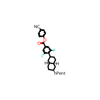 CCCCC[C@H]1CC[C@@H]2CC(c3c(F)cc(C(=O)Oc4ccc(C#N)cc4)cc3F)CC[C@H]2C1